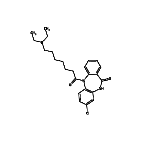 CCN(CC)CCCCCCC(=O)N1c2ccc(Cl)cc2NC(=O)c2ccccc21